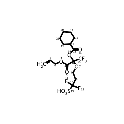 C=CCOC(=O)C(OCCC(F)(F)S(=O)(=O)O)(OC(=O)C1CCCCC1)C(F)(F)F